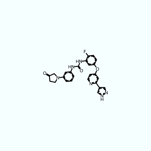 O=C1CCN(c2cccc(NC(=O)Nc3cc(Oc4ccnc(-c5cn[nH]c5)c4)ccc3F)c2)C1